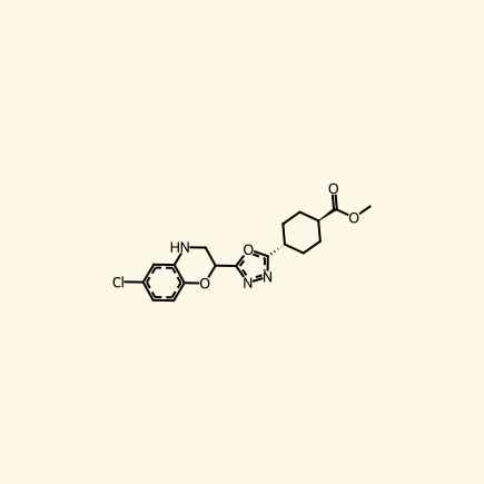 COC(=O)[C@H]1CC[C@H](c2nnc(C3CNc4cc(Cl)ccc4O3)o2)CC1